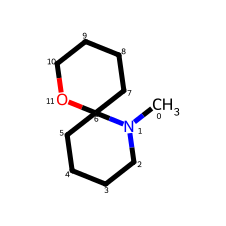 CN1CCCCC12CCCCO2